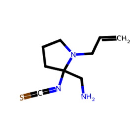 C=CCN1CCCC1(CN)N=C=S